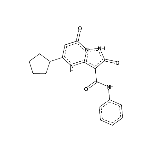 O=C(Nc1ccccc1)c1c(=O)[nH]n2c(=O)cc(C3CCCC3)[nH]c12